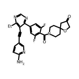 CCc1ncnc(-c2cc(F)c(C(=O)N3CCC4(CC3)CC(=O)CO4)c(F)c2)c1C#Cc1ccc(N)nc1